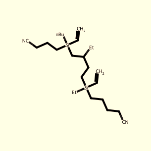 C=C[Si](CC)(CCCCC#N)CCC(CC)C[Si](C=C)(CCCC)CCCC#N